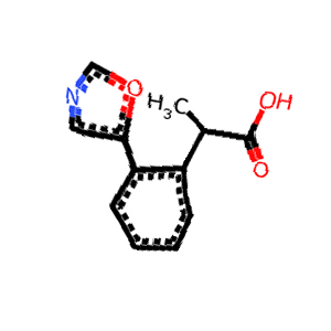 CC(C(=O)O)c1ccccc1-c1cnco1